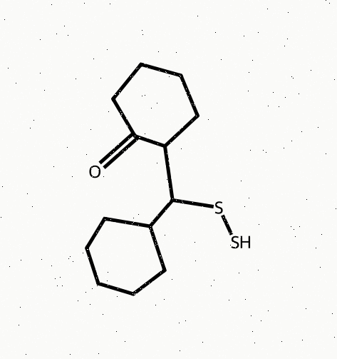 O=C1CCCCC1C(SS)C1CCCCC1